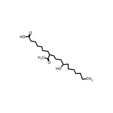 CCCCCCCC(O)CCCC(CCCCCCC(=O)O)C(C)=O